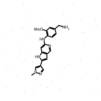 COc1cc(CN)ccc1Nc1cc2[nH]c(-c3cnn(C)c3)cc2cn1